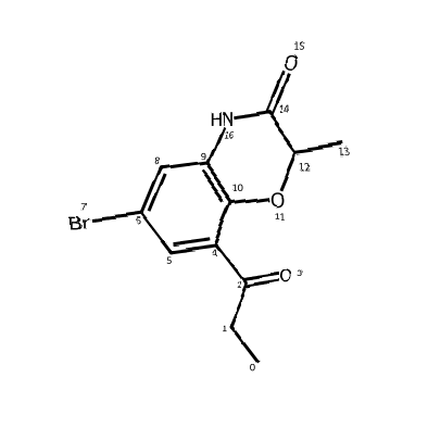 CCC(=O)c1cc(Br)cc2c1OC(C)C(=O)N2